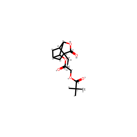 CCC(C)(C)C(=O)OCC(=O)OC1C2CC3C1OC(=O)C3(CC(C)=O)C2